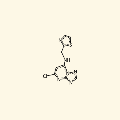 Clc1cc(NCc2nccs2)n2ncnc2n1